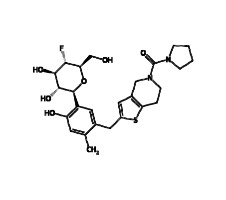 Cc1cc(O)c([C@@H]2O[C@H](CO)[C@@H](F)[C@H](O)[C@H]2O)cc1Cc1cc2c(s1)CCN(C(=O)N1CCCC1)C2